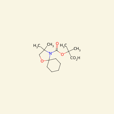 CC(C)(OC(=O)N1C(C)(C)COC12CCCCC2)C(=O)O